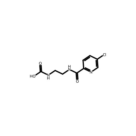 O=C(O)NCCNC(=O)c1ccc(Cl)cn1